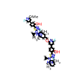 COc1cc(-c2ccc(-c3nnc(N(C4CC4)[C@H]4C[C@]5(C)CC(COc6cc(-c7ccc(-c8nnc(N(C9CC9)[C@@H]9C[C@@]%10(C)CCC[C@](C)(N%10)[C@@H]9F)s8)c(O)c7)cc(F)n6)C[C@@](C)(N5)[C@H]4F)s3)c(O)c2)cc(F)n1